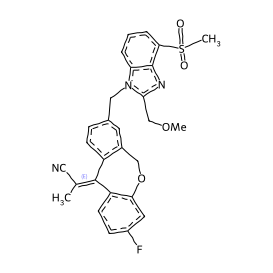 COCc1nc2c(S(C)(=O)=O)cccc2n1Cc1ccc2c(c1)COc1cc(F)ccc1/C2=C(\C)C#N